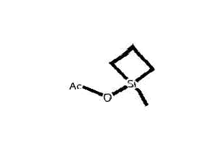 CC(=O)O[Si]1(C)CCC1